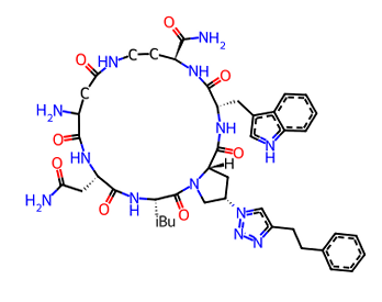 CCC(C)[C@@H]1NC(=O)[C@H](CC(N)=O)NC(=O)C(N)CC(=O)NCC[C@@H](C(N)=O)NC(=O)[C@H](Cc2c[nH]c3ccccc23)NC(=O)[C@@H]2C[C@H](n3cc(CCc4ccccc4)nn3)CN2C1=O